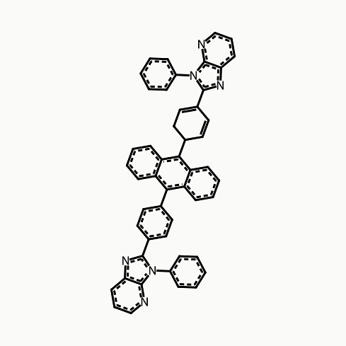 C1=CC(c2c3ccccc3c(-c3ccc(-c4nc5cccnc5n4-c4ccccc4)cc3)c3ccccc23)CC=C1c1nc2cccnc2n1-c1ccccc1